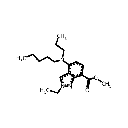 CCCCCN(CCC)c1ccc(C(=O)OC)c2nn(CC)cc12